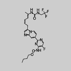 CCCCOONc1nc(-c2ccn3c(C/C=C\C=C(/C)NC(=O)NCC(F)(F)F)cnc3c2)ncc1F